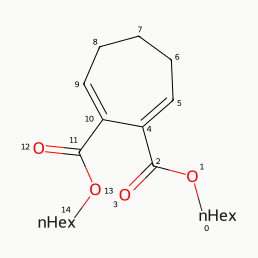 CCCCCCOC(=O)C1=CCCCC=C1C(=O)OCCCCCC